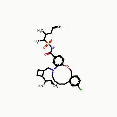 C=CCC(C)C(C)S(=O)(=O)NC(=O)c1ccc2c(c1)N(CC1CCC1C(C=C)OC(C)=O)CCCCc1cc(Cl)ccc1CO2